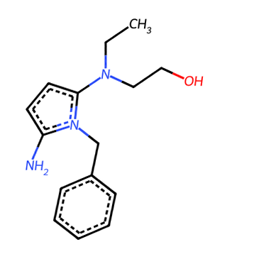 CCN(CCO)c1ccc(N)n1Cc1ccccc1